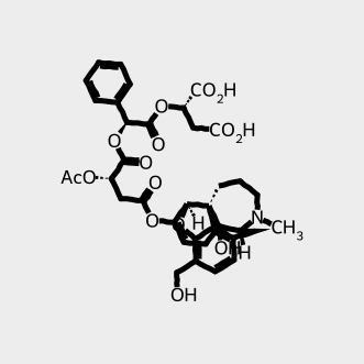 CC(=O)O[C@@H](CC(=O)OC1=CC[C@@]2(O)[C@H]3Cc4ccc(CO)c5c4[C@@]2(CCCN3C)[C@H]1O5)C(=O)O[C@H](C(=O)O[C@@H](CC(=O)O)C(=O)O)c1ccccc1